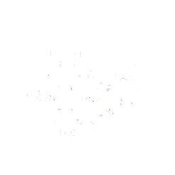 CN(CC(=O)N(C)c1ccc(Cl)c(Cl)c1)Cc1nc2ccc(F)cc2c(=O)[nH]1